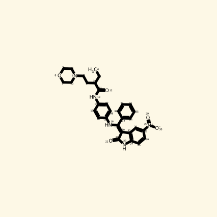 CCC(CCN1CCOCC1)C(=O)Nc1ccc(N/C(=C2\C(=O)Nc3ccc([N+](=O)[O-])cc32)c2ccccc2)cc1